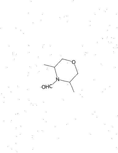 CC1COCC(C)N1[C]=O